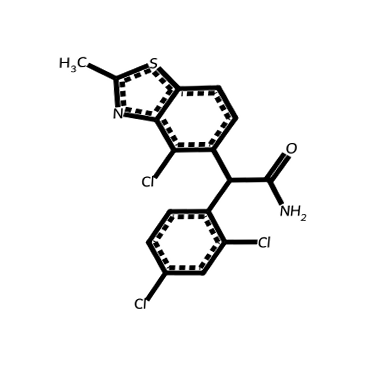 Cc1nc2c(Cl)c(C(C(N)=O)c3ccc(Cl)cc3Cl)ccc2s1